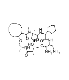 CC(C)C[C@](C)(C(=O)N[C@H](C(=O)N[C@@H](CN)C(N)=O)C1CCCCC1)N(C)C(=O)[C@@H]1CCCCCCCC[C@H]1OC[C@@H](C)NC(=O)[C@@H](C)[C@H](C)O